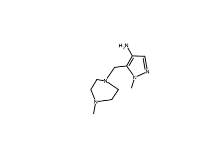 CN1CCN(Cc2c(N)cnn2C)CC1